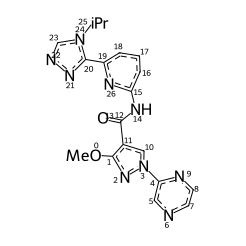 COc1nn(-c2cnccn2)cc1C(=O)Nc1cccc(-c2nncn2C(C)C)n1